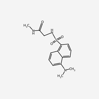 CNC(=O)CNS(=O)(=O)c1cccc2c(N(C)C)cccc12